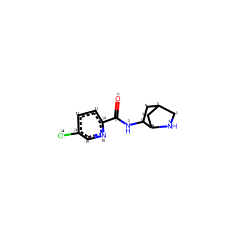 O=C(NC1CC2CNC1C2)c1ccc(Cl)cn1